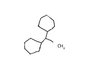 C.CC(C1CCCCC1)C1CCCCC1